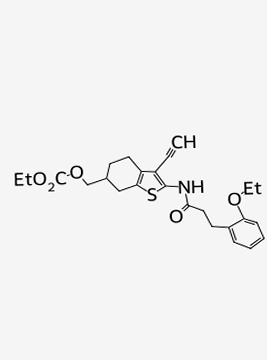 C#Cc1c(NC(=O)CCc2ccccc2OCC)sc2c1CCC(COC(=O)OCC)C2